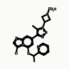 Cc1c(-c2cc(OC(C)c3ccccn3)n3c(Cl)cnc3c2)nnn1C1CN(C(=O)O)C1